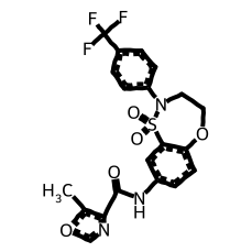 Cc1ocnc1C(=O)Nc1ccc2c(c1)S(=O)(=O)N(c1ccc(C(F)(F)F)cc1)CCO2